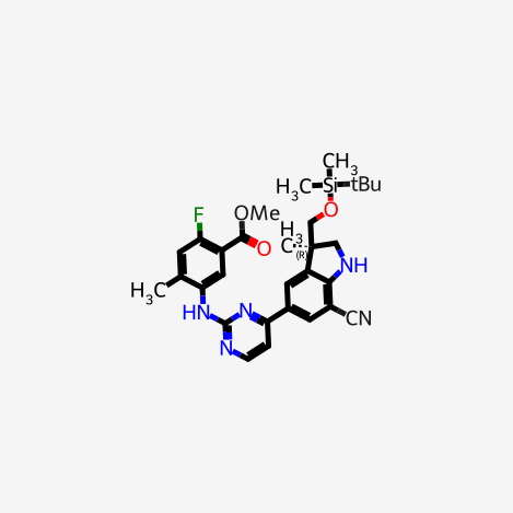 COC(=O)c1cc(Nc2nccc(-c3cc(C#N)c4c(c3)[C@@](C)(CO[Si](C)(C)C(C)(C)C)CN4)n2)c(C)cc1F